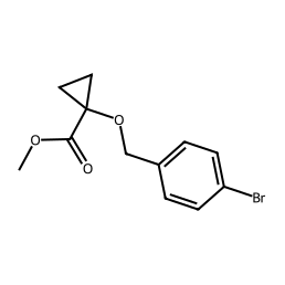 COC(=O)C1(OCc2ccc(Br)cc2)CC1